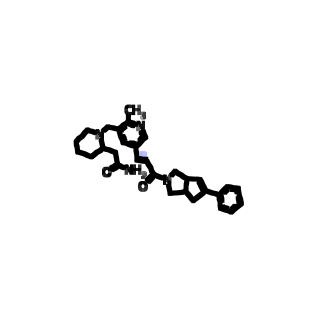 Cc1ncc(/C=C/C(=O)N2CC3C=C(c4ccccc4)CC3C2)cc1CN1CCCCC1CC(N)=O